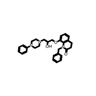 O=C1CCc2cccc(OCC(O)CN3CCN(c4ccccc4)CC3)c2N1Cc1ccccc1